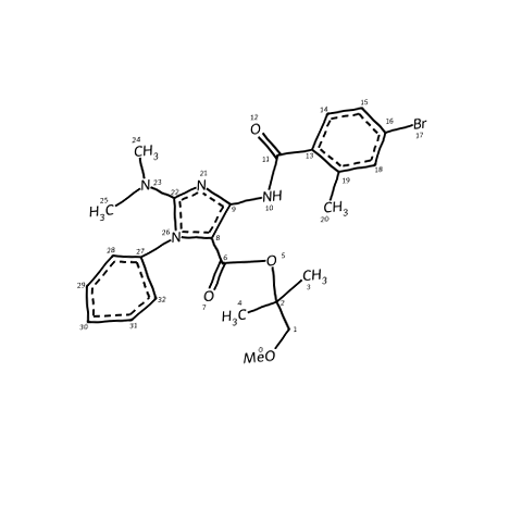 COCC(C)(C)OC(=O)c1c(NC(=O)c2ccc(Br)cc2C)nc(N(C)C)n1-c1ccccc1